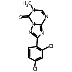 Cn1cnc2nc(-c3ccc(Cl)cc3Cl)nn2c1=S